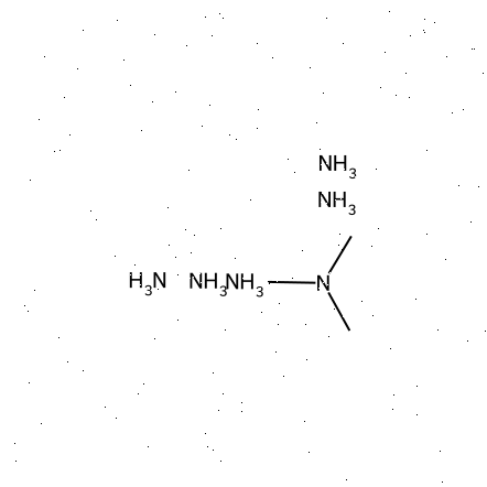 CN(C)C.N.N.N.N.N